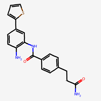 NC(=O)[CH]Cc1ccc(C(=O)Nc2cc(-c3cccs3)ccc2N)cc1